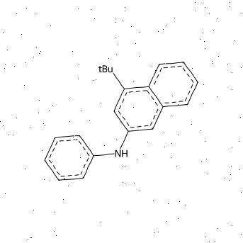 CC(C)(C)c1cc(Nc2ccccc2)cc2ccccc12